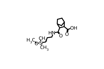 CO[Si](C)(C)CCCNC(=O)C1C2CCC(C2)C1C(=O)O